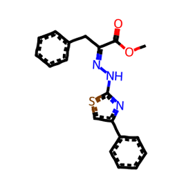 COC(=O)C(Cc1ccccc1)=NNc1nc(-c2ccccc2)cs1